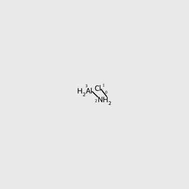 CCl.[NH2][AlH2]